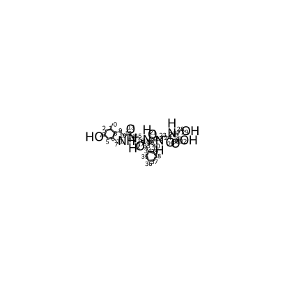 Cc1cc(O)cc(C)c1CC(N)C(=O)NCC(=O)NC1(C(=O)NCC(=O)NC(CO)C(=O)O)Cc2ccccc2C1